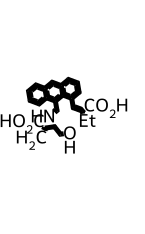 C=C(CCO)C(=O)O.CCC(=Cc1cccc2cc3ccccc3c(C=N)c12)C(=O)O